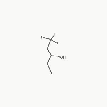 CC[C@@H](O)CC(F)(F)F